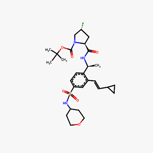 C[C@H](NC(=O)[C@@H]1C[C@@H](F)CN1C(=O)OC(C)(C)C)c1ccc(S(=O)(=O)NC2CCOCC2)cc1/C=C/C1CC1